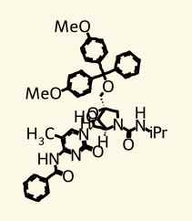 COc1ccc(C(OC[C@@]23CN(C(=O)NC(C)C)[C@@H]([C@H](n4cc(C)c(NC(=O)c5ccccc5)nc4=O)O2)[C@@H]3O)(c2ccccc2)c2ccc(OC)cc2)cc1